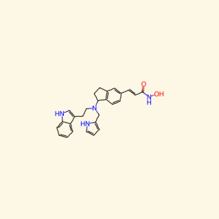 O=C(C=Cc1ccc2c(c1)CCC2N(CCc1c[nH]c2ccccc12)Cc1ccc[nH]1)NO